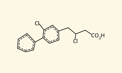 O=C(O)CC(Cl)Cc1ccc(-c2ccccc2)c(Cl)c1